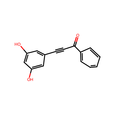 O=C(C#Cc1cc(O)cc(O)c1)c1ccccc1